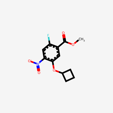 COC(=O)c1cc(OC2CCC2)c([N+](=O)[O-])cc1F